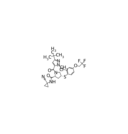 Cn1nc(C(C)(C)C)cc1C(=O)N1C[C@H](Sc2ccc(OCC(F)(F)F)cc2Cl)C[C@H]1C(=O)NC1(C#N)CC1